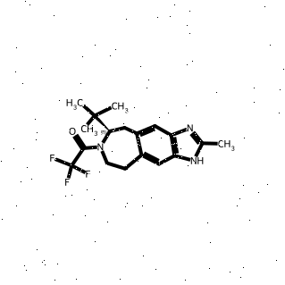 Cc1nc2cc3c(cc2[nH]1)CCN(C(=O)C(F)(F)F)[C@@H](C(C)(C)C)C3